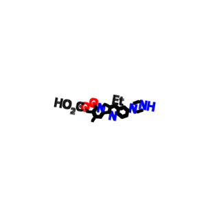 CCc1c2c(nc3ccc(N4CCNCC4)cc13)-c1cc(C)c(COC(=O)O)c(=O)n1C2